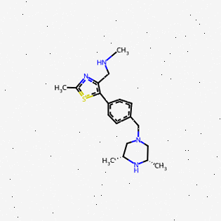 CNCc1nc(C)sc1-c1ccc(CN2C[C@@H](C)N[C@@H](C)C2)cc1